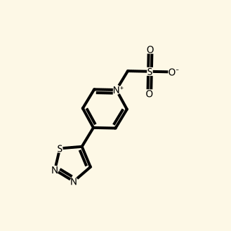 O=S(=O)([O-])C[n+]1ccc(-c2cnns2)cc1